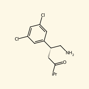 CC(C)C(=O)C[C@@H](CN)c1cc(Cl)cc(Cl)c1